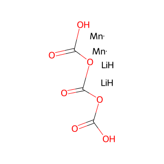 O=C(O)OC(=O)OC(=O)O.[LiH].[LiH].[Mn].[Mn]